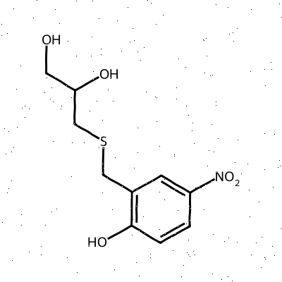 O=[N+]([O-])c1ccc(O)c(CSCC(O)CO)c1